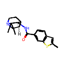 Cc1cc2ccc(C(=O)N[C@@H]3C4CCN(CC4)C3(C)C)cc2s1